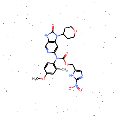 COc1ccc(N(C(=O)OCc2cnc([N+](=O)[O-])[nH]2)c2cc3c(cn2)[nH]c(=O)n3C2CCOCC2)c(C)c1